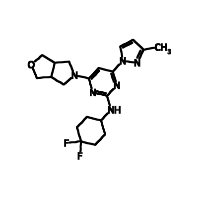 Cc1ccn(-c2cc(N3CC4COCC4C3)nc(NC3CCC(F)(F)CC3)n2)n1